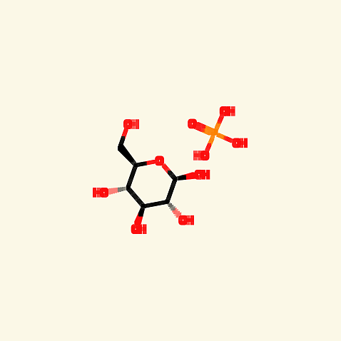 O=P(O)(O)O.OC[C@H]1O[C@@H](O)[C@H](O)[C@@H](O)[C@@H]1O